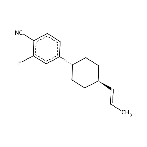 CC=C[C@H]1CC[C@H](c2ccc(C#N)c(F)c2)CC1